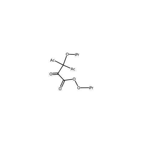 CC(=O)C(OC(C)C)(C(C)=O)C(=O)C(=O)OOC(C)C